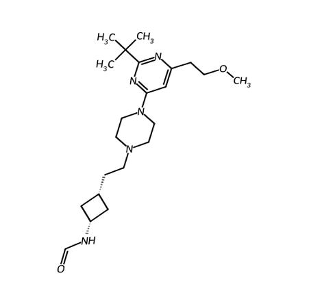 COCCc1cc(N2CCN(CC[C@H]3C[C@@H](NC=O)C3)CC2)nc(C(C)(C)C)n1